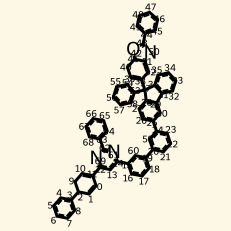 C1=CC(c2ccccc2)CC=C1c1cc(-c2cccc(-c3cccc(-c4ccc5c(c4)-c4ccccc4C5(C4=CCC5OC(c6ccccc6)=NC5=C4)c4ccccc4)c3)c2)nc(-c2ccccc2)n1